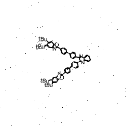 CC(C)(C)c1cc2nc(-c3ccc(-c4ccc(-c5nc6ccccc6nc5-c5ccc(-c6ccc(-c7nc8cc(C(C)(C)C)c(C(C)(C)C)cc8o7)cc6)cc5)cc4)cc3)oc2cc1C(C)(C)C